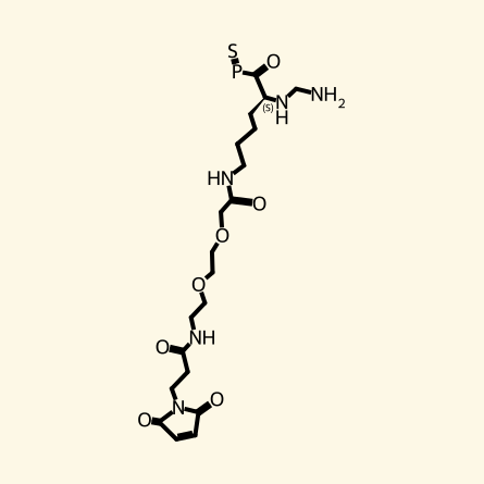 NCN[C@@H](CCCCNC(=O)COCCOCCNC(=O)CCN1C(=O)C=CC1=O)C(=O)P=S